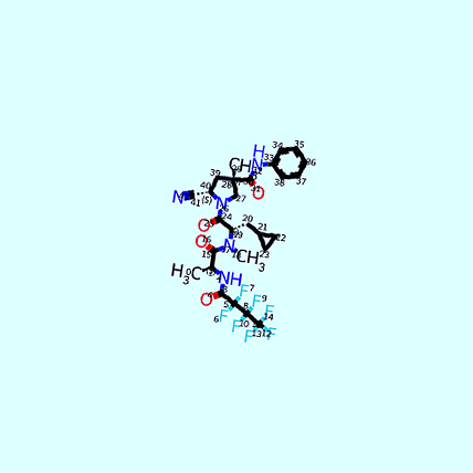 C[C@H](NC(=O)C(F)(F)C(F)(F)C(F)(F)F)C(=O)N(C)[C@@H](CC1CC1)C(=O)N1C[C@@](C)(C(=O)Nc2ccccc2)C[C@H]1C#N